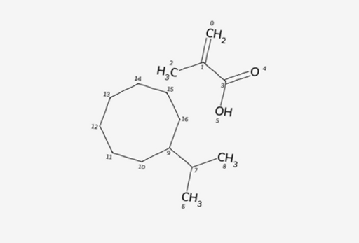 C=C(C)C(=O)O.CC(C)C1CCCCCCC1